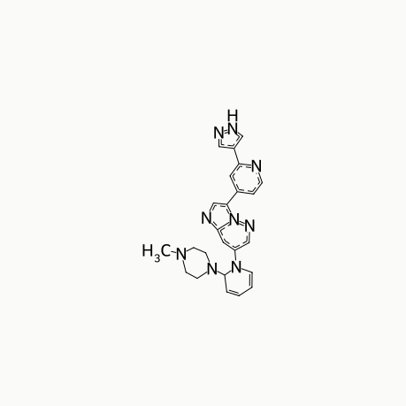 CN1CCN(C2C=CC=CN2c2cnn3c(-c4ccnc(-c5cn[nH]c5)c4)cnc3c2)CC1